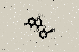 CN(C)/C=C(/Oc1ccccc1C#N)C(=O)c1cccc(F)c1F